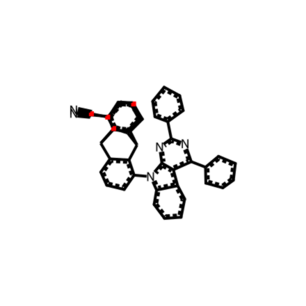 N#Cc1cccc2c1C1c3cccc(-n4c5ccccc5c5c(-c6ccccc6)nc(-c6ccccc6)nc54)c3C2c2cccc(C#N)c21